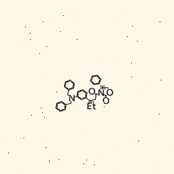 CC[C@@H](CC(=O)N1C(=O)OC[C@H]1c1ccccc1)c1cccc(N(Cc2ccccc2)Cc2ccccc2)c1